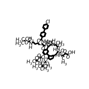 C[C@@H]1NC(=O)[C@@H](N(C)C(=O)[C@H](CCCCNC(=O)OC(C)(C)C)NC(=O)c2ccc(-c3ccc(Cl)cc3)cc2)c2ccc(OC(=O)OC(C)(C)C)c(c2)-c2cc(ccc2OC(=O)OC(C)(C)C)C[C@@H](C(=O)N[C@@H](C)C(=O)C(=O)O)NC1=O